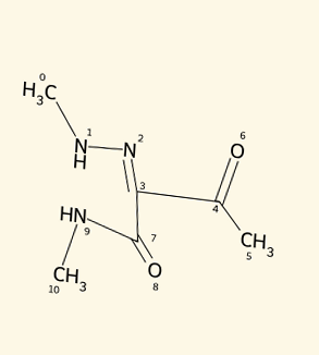 CN/N=C(/C(C)=O)C(=O)NC